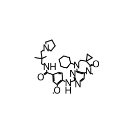 COc1cc(C(=O)NCC(C)(C)CN2CCCC2)ccc1Nc1ncc2c(n1)N(C1CCCCC1)CC1(CC1)C(=O)N2C